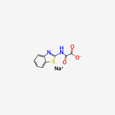 O=C([O-])C(=O)Nc1nc2ccccc2s1.[Na+]